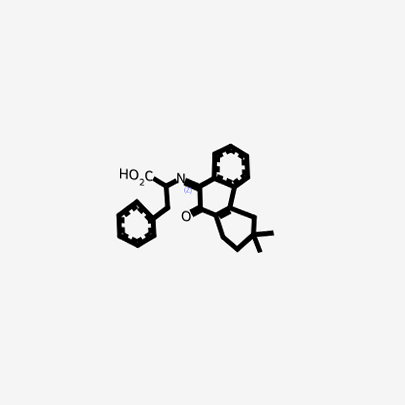 CC1(C)CCC2=C(C1)c1ccccc1/C(=N/C(Cc1ccccc1)C(=O)O)C2=O